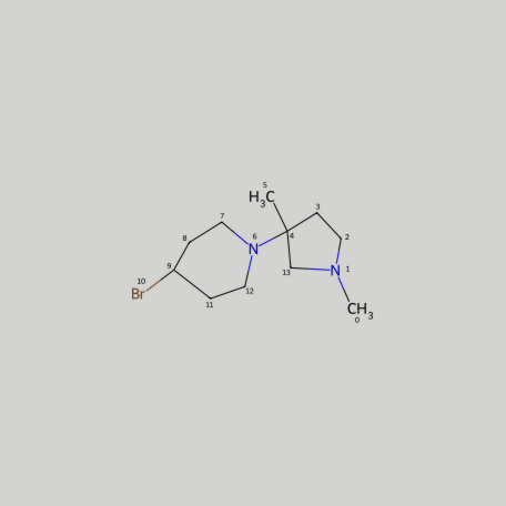 CN1CCC(C)(N2CCC(Br)CC2)C1